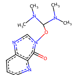 CN(C)C(On1cnc2cccnc2c1=O)N(C)C